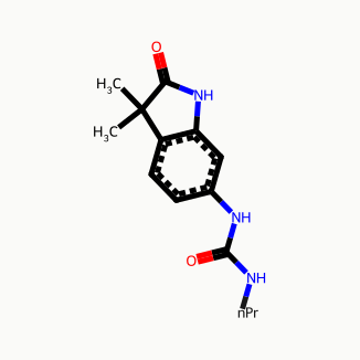 CCCNC(=O)Nc1ccc2c(c1)NC(=O)C2(C)C